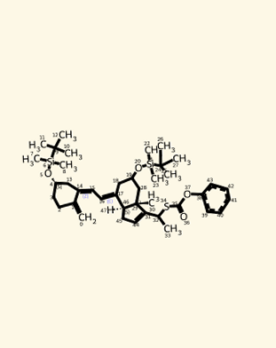 C=C1CC[C@H](O[Si](C)(C)C(C)(C)C)C/C1=C/C=C1\CC(O[Si](C)(C)C(C)(C)C)C[C@]2(C)C(C(C)SC(=O)Oc3ccccc3)=CC[C@@H]12